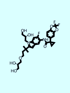 CC(C)(CCOC[C@@H](O)CO)c1cc2cc(NC(=O)C3(c4ccc5c(c4)OC(F)(F)O5)CC3)c(F)cc2n1C[C@@H](O)CO